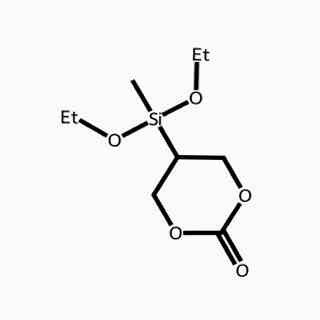 CCO[Si](C)(OCC)C1COC(=O)OC1